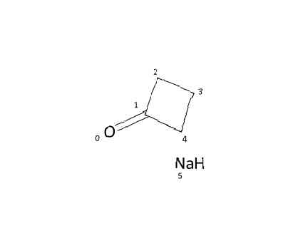 O=C1CCC1.[NaH]